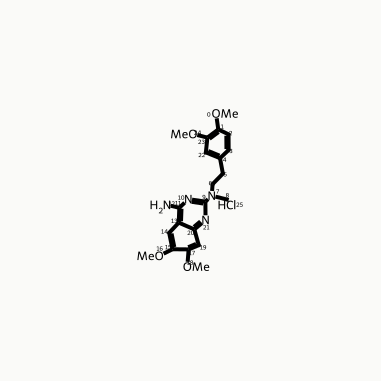 COc1ccc(CCN(C)c2nc(N)c3cc(OC)c(OC)cc3n2)cc1OC.Cl